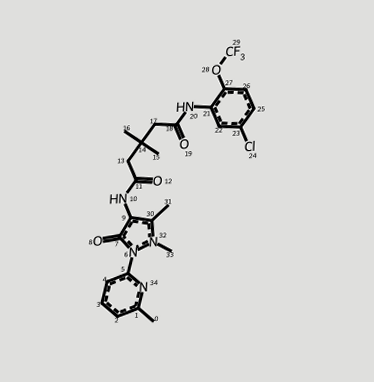 Cc1cccc(-n2c(=O)c(NC(=O)CC(C)(C)CC(=O)Nc3cc(Cl)ccc3OC(F)(F)F)c(C)n2C)n1